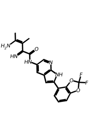 C/C(N)=C(\C)C(=N)C(=O)Nc1cnc2[nH]c(-c3cccc4c3OC(F)(F)O4)cc2c1